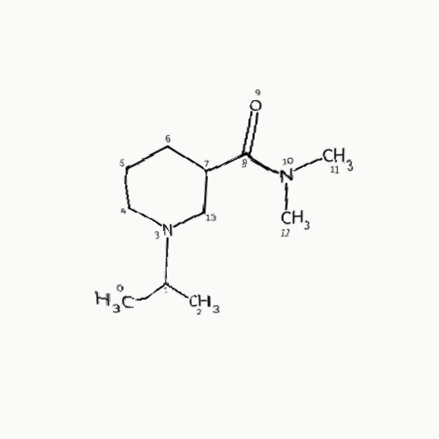 CC(C)N1CCCC(C(=O)N(C)C)C1